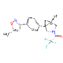 Cc1cc(-c2ccc(C34C[C@@H]3CN(C(=O)C(F)(F)F)C4)cc2)no1